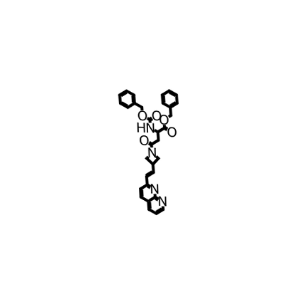 O=C(NC(CC(=O)N1CC(C=Cc2ccc3cccnc3n2)C1)C(=O)OCc1ccccc1)OCc1ccccc1